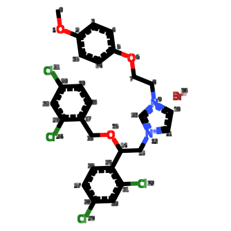 COc1ccc(OCCn2cc[n+](CC(OCc3ccc(Cl)cc3Cl)c3ccc(Cl)cc3Cl)c2)cc1.[Br-]